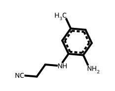 Cc1ccc(N)c(NCCC#N)c1